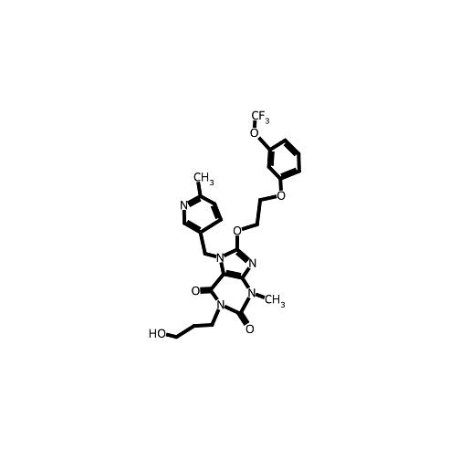 Cc1ccc(Cn2c(OCCOc3cccc(OC(F)(F)F)c3)nc3c2c(=O)n(CCCO)c(=O)n3C)cn1